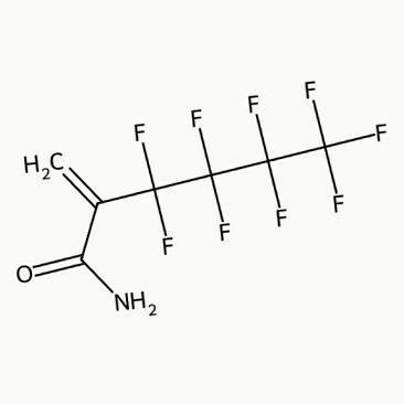 C=C(C(N)=O)C(F)(F)C(F)(F)C(F)(F)C(F)(F)F